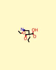 CCC[C@](CC#N)(C(=O)O)C(=O)OCC